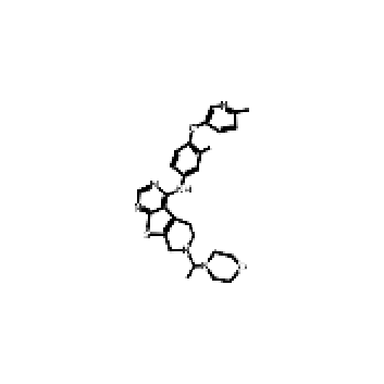 Cc1ccc(Oc2ccc(Nc3ncnc4sc5c(c34)CCN(C(C)N3CCOCC3)C5)cc2C)cn1